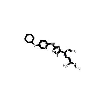 C=N/C(=C\C=C(/C)OC)c1nc(Nc2ccc(OC3CCCCC3)cn2)n[nH]1